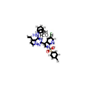 C=Cc1ccn2nc(-c3cn(S(=O)(=O)c4ccc(C)cc4)c4ncc(F)cc34)nc(N[C@H]3C4CCC(CC4)[C@@H]3C(=O)O)c12